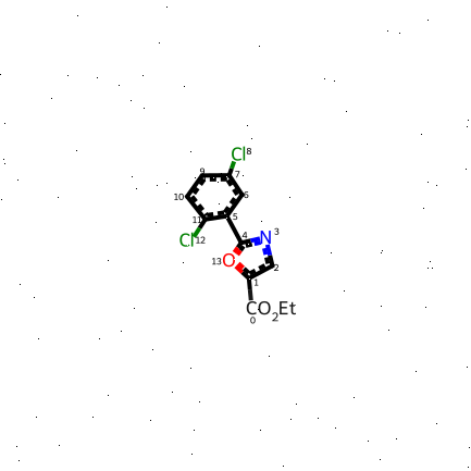 CCOC(=O)c1cnc(-c2cc(Cl)ccc2Cl)o1